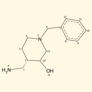 NC[C@@H]1CCN(Cc2ccccc2)CC1O